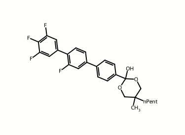 CCCCCC1(C)COC(O)(c2ccc(-c3ccc(-c4cc(F)c(F)c(F)c4)c(F)c3)cc2)OC1